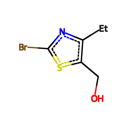 CCc1nc(Br)sc1CO